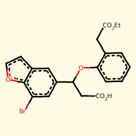 CCOC(=O)Cc1ccccc1OC(CC(=O)O)c1cc(Br)c2occc2c1